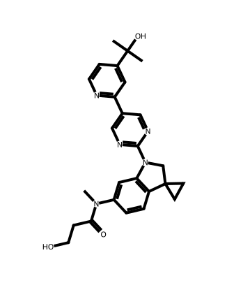 CN(C(=O)CCO)c1ccc2c(c1)N(c1ncc(-c3cc(C(C)(C)O)ccn3)cn1)CC21CC1